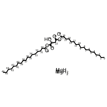 CCCCCCCCCCCCCCCCCC(=O)OC(=O)CC(O)C(=O)OC(=O)CCCCCCCCCCCCCCCCC.[MgH2].[MgH2]